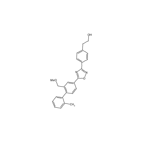 COCc1cc(-c2nc(-c3ccc(CCO)cc3)no2)ccc1-c1ccccc1C